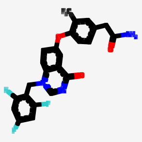 NC(=O)Cc1ccc(Oc2ccc3c(c2)c(=O)ncn3Cc2c(F)cc(F)cc2F)c(C(F)(F)F)c1